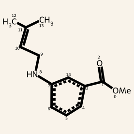 COC(=O)c1cccc(NCC=C(C)C)c1